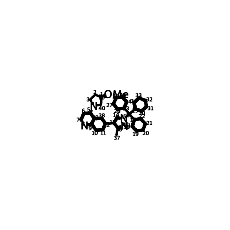 CO[C@@H]1CCN(c2ccnc3ccc(-c4cn(C(c5ccccc5)(c5ccccc5)c5ccccc5)nc4C)cc23)C1